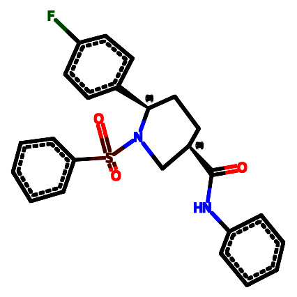 O=C(Nc1ccccc1)[C@@H]1CC[C@H](c2ccc(F)cc2)N(S(=O)(=O)c2ccccc2)C1